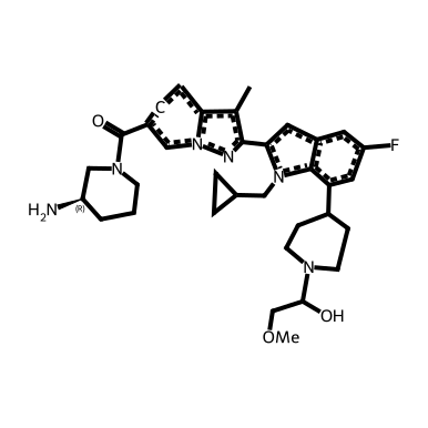 COCC(O)N1CCC(c2cc(F)cc3cc(-c4nn5cc(C(=O)N6CCC[C@@H](N)C6)ccc5c4C)n(CC4CC4)c23)CC1